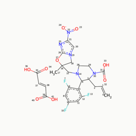 C=CCC1C(c2c(F)cc(F)cc2F)N(CC2(C)Cn3cc([N+](=O)[O-])nc3O2)CCN1C(=O)O.O=C(O)C=CC(=O)O